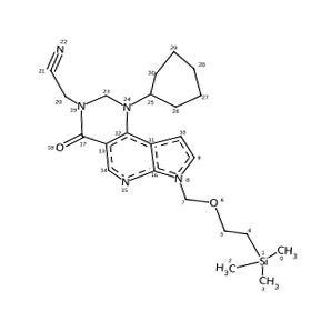 C[Si](C)(C)CCOCn1ccc2c3c(cnc21)C(=O)N(CC#N)CN3C1CCCCC1